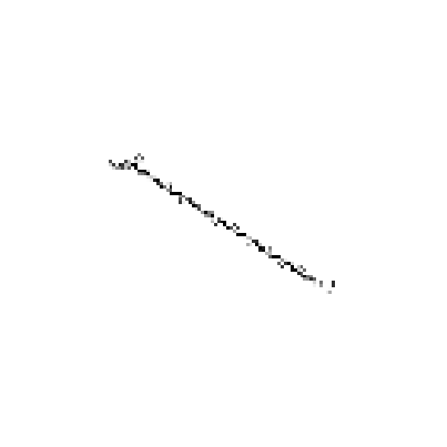 CNC(=O)CCOCCOCCOCCOCCOCCOCCOCCOCCOCCOCCC(=O)O